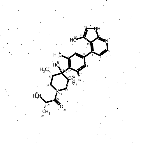 Cc1cc(-c2ccnc3[nH]cc(C#N)c23)cc(F)c1C1(O)[C@H](C)CN(C(=O)[C@H](C)N)C[C@@H]1C